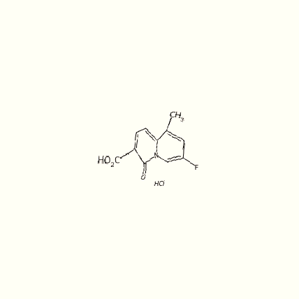 Cc1cc(F)cn2c(=O)c(C(=O)O)ccc12.Cl